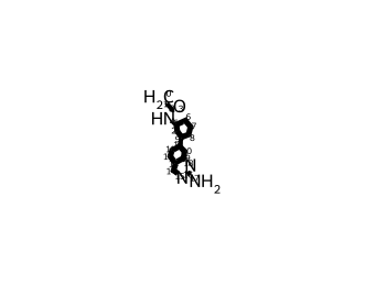 C=CC(=O)Nc1cccc(-c2ccc3cnc(N)nc3c2)c1